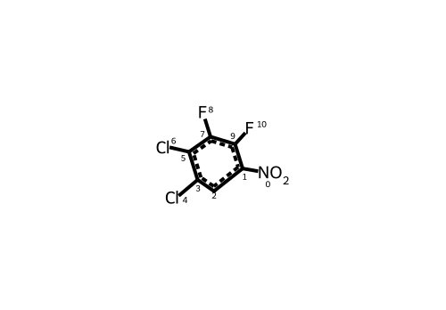 O=[N+]([O-])c1cc(Cl)c(Cl)c(F)c1F